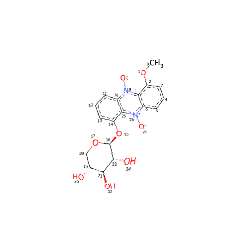 COc1cccc2c1[n+]([O-])c1cccc(O[C@@H]3OC[C@@H](O)[C@H](O)[C@H]3O)c1[n+]2[O-]